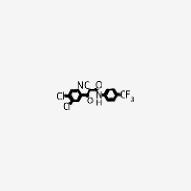 N#CC(C(=O)Nc1ccc(C(F)(F)F)cc1)C(=O)c1ccc(Cl)c(Cl)c1